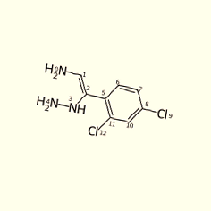 N/C=C(\NN)c1ccc(Cl)cc1Cl